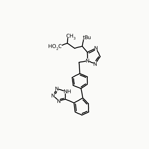 CC(CC(c1ncnn1Cc1ccc(-c2ccccc2-c2nnn[nH]2)cc1)C(C)(C)C)C(=O)O